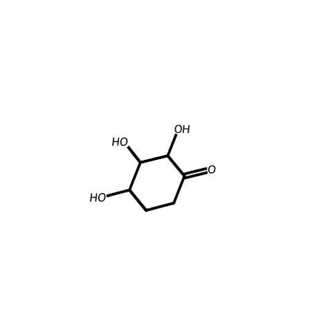 O=C1CCC(O)C(O)C1O